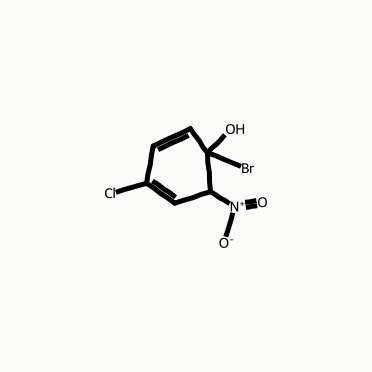 O=[N+]([O-])C1C=C(Cl)C=CC1(O)Br